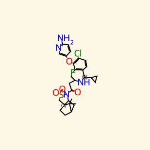 CC(CC(=O)N1C2CC3CC[C@]2(CS1(=O)=O)C3(C)C)N[C@@H](c1ccc(Cl)c(Oc2ccc(N)nc2)c1F)C1CC1